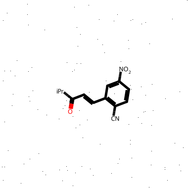 CC(C)C(=O)C=Cc1cc([N+](=O)[O-])ccc1C#N